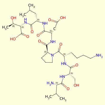 CC(C)C[C@H](NC(=O)[C@H](CC(=O)O)NC(=O)[C@@H]1CCCN1C(=O)[C@H](CCCCN)NC(=O)[C@H](CO)NC(=O)[C@@H](N)C(C)C)C(=O)N[C@H](C(=O)O)[C@@H](C)O